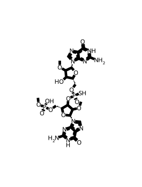 COC1C(O)[C@@H](COP(=O)(S)OC2C(OC)[C@H](n3cnc4c(=O)[nH]c(N)nc43)O[C@@H]2COP(=O)(O)OC)O[C@H]1n1cnc2c(=O)[nH]c(N)nc21